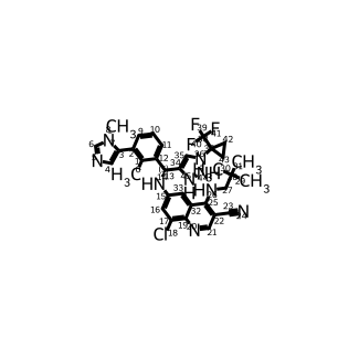 Cc1c(-c2cncn2C)cccc1[C@H](Nc1cc(Cl)c2ncc(C#N)c(NCC(C)(C)C)c2c1)C1=CN(C2(C(F)(F)F)CC2)NN1